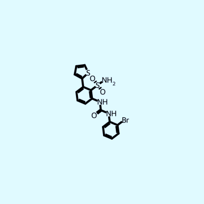 NS(=O)(=O)c1c(NC(=O)Nc2ccccc2Br)cccc1-c1cccs1